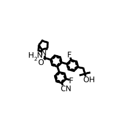 CC(C)(O)Cc1ccc(-c2ccc(C(=O)N3CC4CCC3C4N)cc2-c2ccc(C#N)c(F)c2)c(F)c1